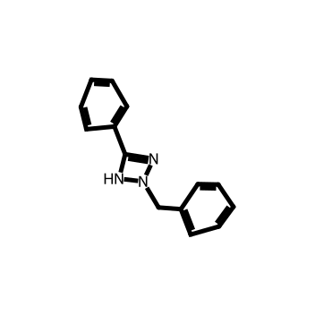 c1ccc(Cn2nc(-c3ccccc3)[nH]2)cc1